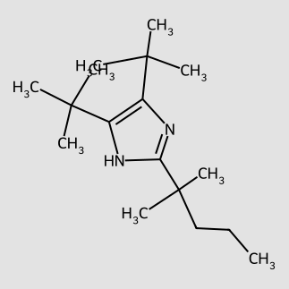 CCCC(C)(C)c1nc(C(C)(C)C)c(C(C)(C)C)[nH]1